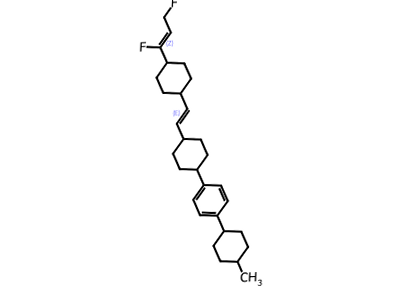 CC1CCC(c2ccc(C3CCC(/C=C/C4CCC(/C(F)=C/CF)CC4)CC3)cc2)CC1